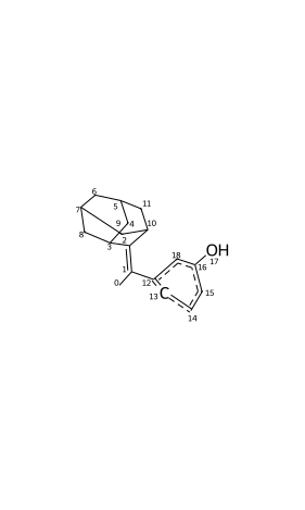 CC(=C1C2CC3CC(C2)CC1C3)c1cccc(O)c1